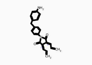 C=C/C=C1/C(=O)N(c2ccc(Cc3ccc(N)cc3)cc2)C(=O)/C1=C/C=C